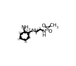 CS(=O)(=O)NCCNc1ccccc1N